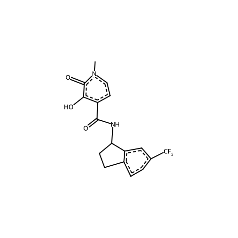 Cn1ccc(C(=O)NC2CCc3ccc(C(F)(F)F)cc32)c(O)c1=O